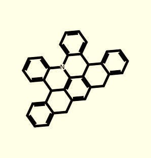 c1ccc2c(c1)Cc1cc3c4c5c1C2c1ccccc1N5c1ccccc1C4c1ccccc1C3